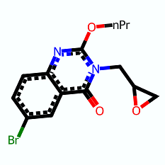 CCCOc1nc2ccc(Br)cc2c(=O)n1CC1CO1